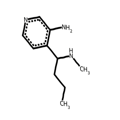 CCCC(NC)c1ccncc1N